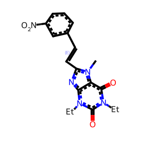 CCn1c(=O)c2c(nc(/C=C/c3cccc([N+](=O)[O-])c3)n2C)n(CC)c1=O